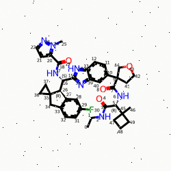 CCNC(=O)[C@H](NC(=O)C1(c2ccc3[nH]c([C@@H](NC(=O)c4ccnn4C)[C@H]4c5cc(F)ccc5CC45CC5)nc3c2)CCOC1)C1(C)CCC1